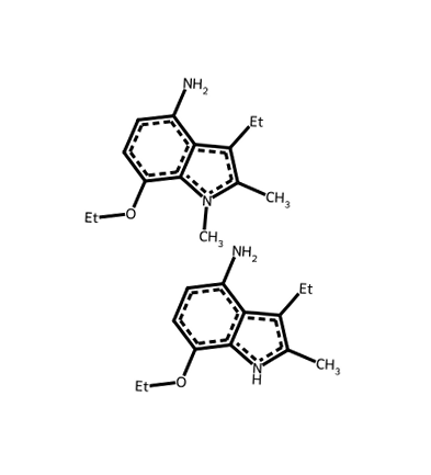 CCOc1ccc(N)c2c(CC)c(C)[nH]c12.CCOc1ccc(N)c2c(CC)c(C)n(C)c12